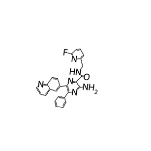 Nc1nc(-c2ccccc2)c(-c2ccc3ncccc3c2)nc1C(=O)NCc1cccc(F)n1